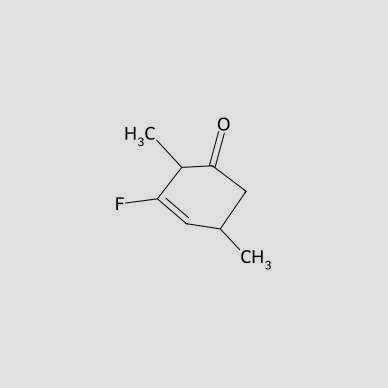 CC1C=C(F)C(C)C(=O)C1